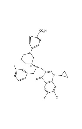 Cc1cc(CN(Cc2cn(C3CC3)c3cc(Cl)c(F)cc3c2=O)[C@H]2CCCN(c3ccc(C(=O)O)nc3)C2)ccn1